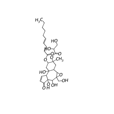 CCCCC/C=C/C=C/C(=O)OC1CC2(O)C(CC1(C)OC(=O)C(O)CO)C1OC1(CO)C(O)C1(O)C(=O)C=CC21